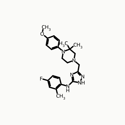 COc1ccc(N2CCN(Cc3n[nH]c(Nc4ccc(F)cc4C)n3)CC2(C)C)cc1